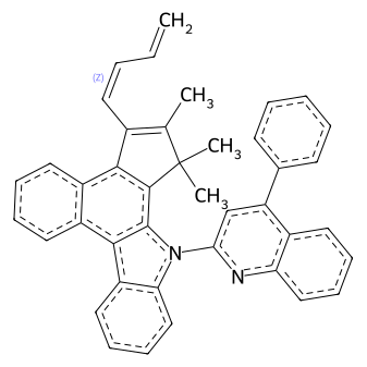 C=C/C=C\C1=C(C)C(C)(C)c2c1c1ccccc1c1c3ccccc3n(-c3cc(-c4ccccc4)c4ccccc4n3)c21